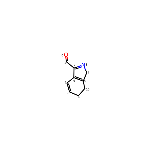 O=CC1=NCC2=C1C=CCC2